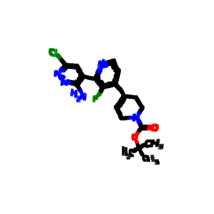 CC(C)(C)OC(=O)N1CC=C(c2ccnc(-c3cc(Cl)nnc3N)c2F)CC1